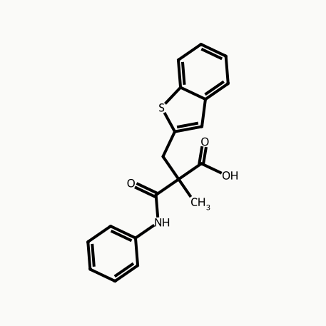 CC(Cc1cc2ccccc2s1)(C(=O)O)C(=O)Nc1ccccc1